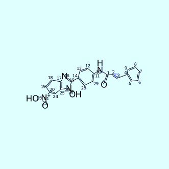 O=C(/C=C/c1ccccc1)Nc1ccc(-c2nc3ccc([N+](=O)O)cc3n2O)cc1